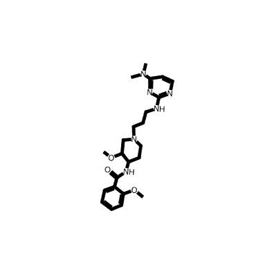 COc1ccccc1C(=O)NC1CCN(CCCNc2nccc(N(C)C)n2)CC1OC